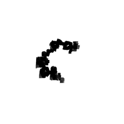 Cn1c(SCCCN2CCC3(CC3c3ccc(C(F)(F)F)cc3)C2)nnc1-c1cncc(C(N)=O)c1